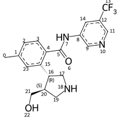 Cc1ccc(C(=O)Nc2cncc(C(F)(F)F)c2)c([C@@H]2CNC[C@H]2CO)c1